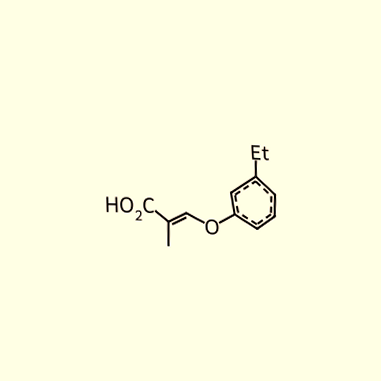 CCc1cccc(O/C=C(\C)C(=O)O)c1